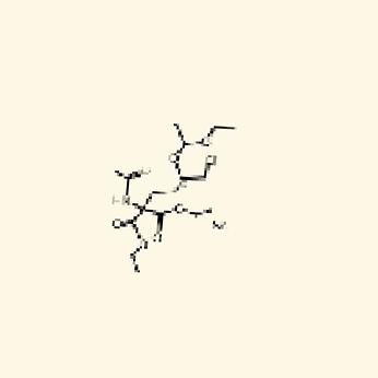 CCOC(=O)C(CC[C@@H](CCl)OC(C)OCC)(NC(C)=O)C(=O)OCC.[Sn]